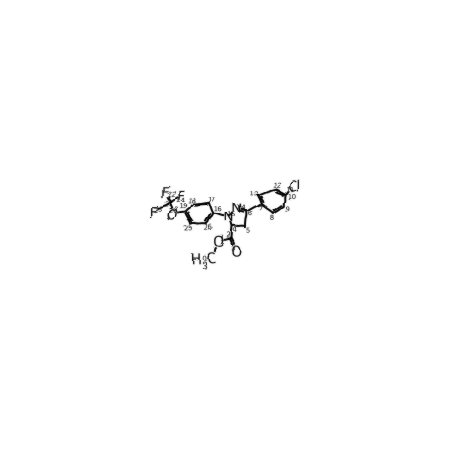 COC(=O)C1CC(c2ccc(Cl)cc2)=NN1c1ccc(OC(F)(F)F)cc1